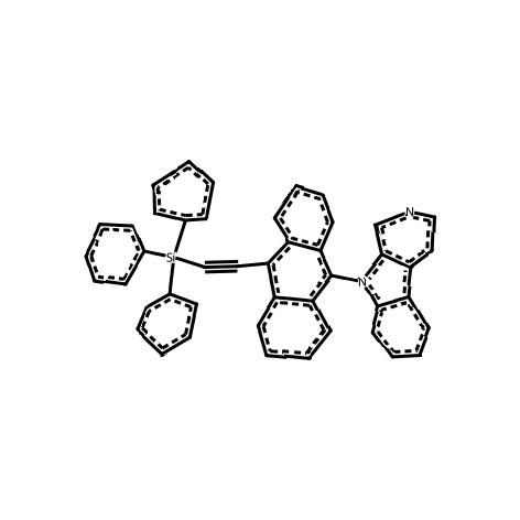 C(#C[Si](c1ccccc1)(c1ccccc1)c1ccccc1)c1c2ccccc2c(-n2c3ccccc3c3ccncc32)c2ccccc12